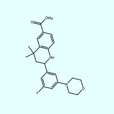 COC(=O)c1ccc2c(c1)C(C)(C)CC(c1cc(F)cc(N3CCOCC3)c1)N2